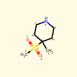 CC1(S(C)(=O)=O)CCNCC1